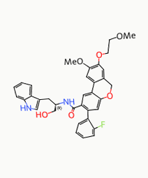 COCCOc1cc2c(cc1OC)-c1cc(C(=O)N[C@@H](CO)Cc3c[nH]c4ccccc34)c(-c3ccccc3F)cc1OC2